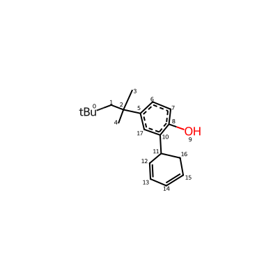 CC(C)(C)CC(C)(C)c1ccc(O)c(C2C=CC=CC2)c1